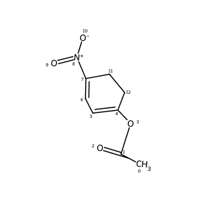 CC(=O)OC1=CC=C([N+](=O)[O-])CC1